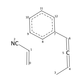 C=CC#N.CC=C=Cc1ccccc1